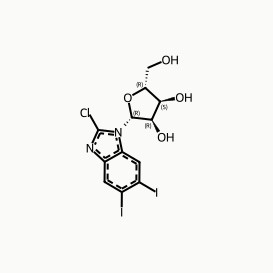 OC[C@H]1O[C@@H](n2c(Cl)nc3cc(I)c(I)cc32)[C@H](O)[C@@H]1O